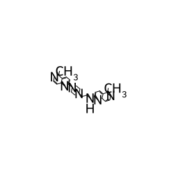 Cc1nccc2nc(NCCN3CCN(c4ccc5c(C)nccc5n4)CC3)ccc12